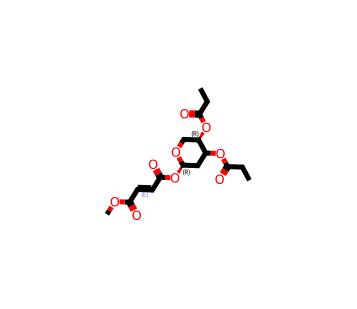 CCC(=O)OC1C[C@@H](OC(=O)/C=C/C(=O)OC)OC[C@H]1OC(=O)CC